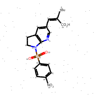 CC(C)(C)C(=Cc1cnc2c(c1)CCN2S(=O)(=O)c1ccc([N+](=O)[O-])cc1)C(=O)O